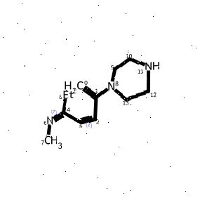 C=C(/C=C\C(CC)=N/C)N1CCNCC1